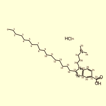 CCCCCCCCCCCCCCCCCc1nc2cc(C(=O)O)ccc2n1CCCN(C)C.Cl